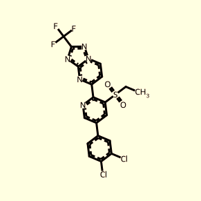 CCS(=O)(=O)c1cc(-c2ccc(Cl)c(Cl)c2)cnc1-c1ccn2nc(C(F)(F)F)nc2n1